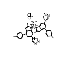 CC1=Cc2c(-c3ccc(C)cc3)cc(-n3cnnc3)cc2[C@@H]1[Zr+2]([C@H]1C(C)=Cc2c(-c3ccc(C)cc3)cc(-n3cnnc3)cc21)=[Si](C)C.[Cl-].[Cl-]